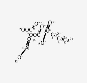 O=C([O-])[O-].O=C([O-])[O-].[Ca+2].[Ca+2].[Ca+2].[O]=[Al][O-].[O]=[Al][O-]